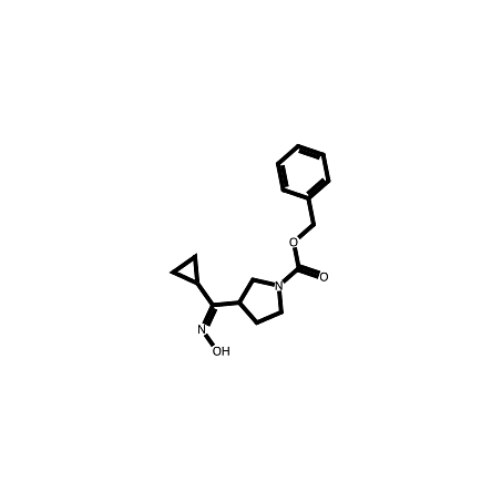 O=C(OCc1ccccc1)N1CCC(/C(=N\O)C2CC2)C1